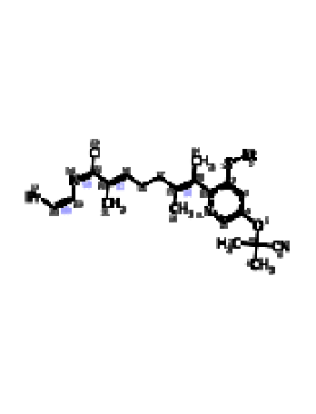 CCSc1cc(OC(C)(C)C#N)cnc1/C(C)=C(\C)CC/C=C(C)/C(Cl)=N\C=C/C(C)C